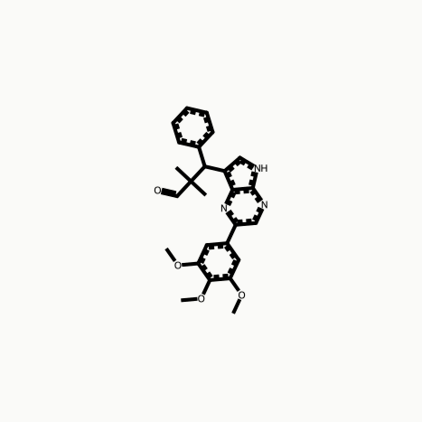 COc1cc(-c2cnc3[nH]cc(C(c4ccccc4)C(C)(C)C=O)c3n2)cc(OC)c1OC